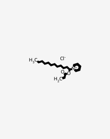 C=CC(=O)OC(CCCCCCCCCCC)[n+]1ccccc1.[Cl-]